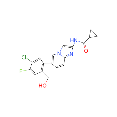 O=C(Nc1cn2cc(-c3cc(Cl)c(F)cc3CO)ccc2n1)C1CC1